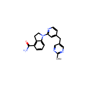 COc1ncc(Cc2ccnc(N3CCc4c(C(N)=O)cccc43)c2)cn1